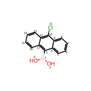 OB(O)c1c2ccccc2c(Cl)c2ccccc12